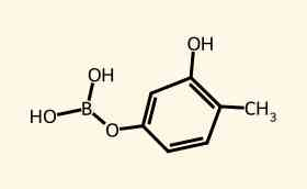 Cc1ccc(OB(O)O)cc1O